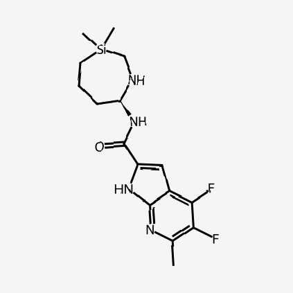 Cc1nc2[nH]c(C(=O)N[C@H]3CCC[Si](C)(C)CN3)cc2c(F)c1F